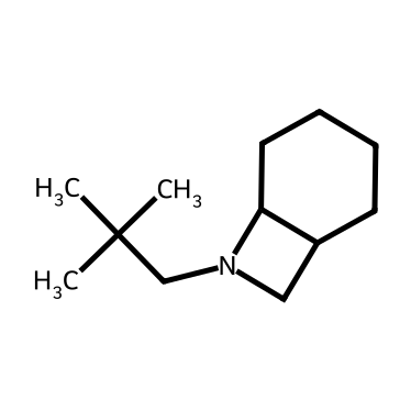 CC(C)(C)CN1CC2CCCCC21